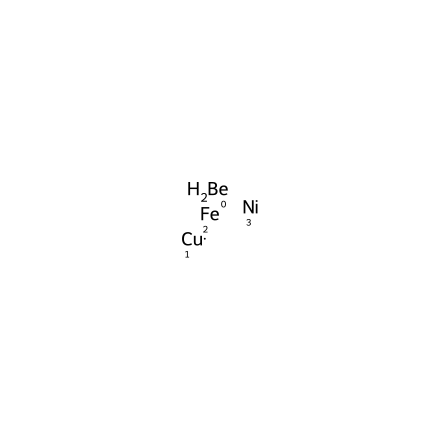 [BeH2].[Cu].[Fe].[Ni]